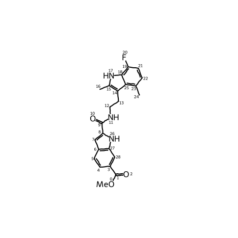 COC(=O)c1ccc2cc(C(=O)NCCc3c(C)[nH]c4c(F)ccc(C)c34)[nH]c2c1